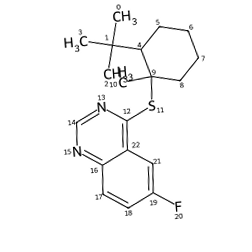 CC(C)(C)C1CCCCC1(C)Sc1ncnc2ccc(F)cc12